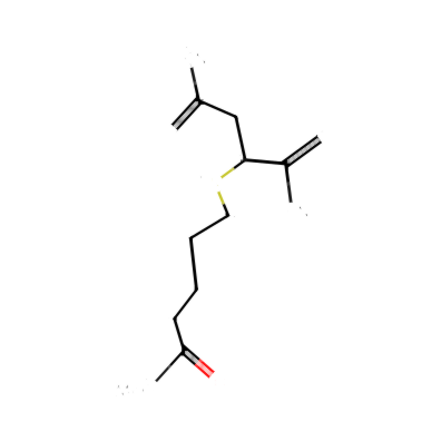 C=C(C#N)CC(SCCCCC(=O)OC)C(=C)C#N